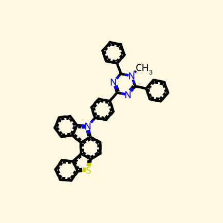 CN1C(c2ccccc2)=NC(c2ccc(-n3c4ccccc4c4c5c(ccc43)sc3ccccc35)cc2)=NC1c1ccccc1